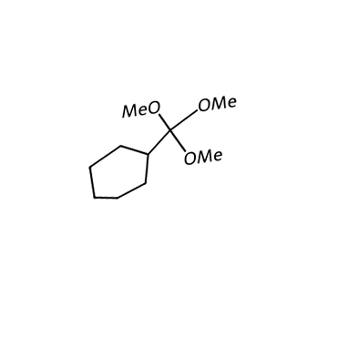 COC(OC)(OC)C1CCCCC1